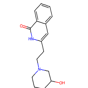 O=c1[nH]c(CCN2CCCC(O)C2)cc2ccccc12